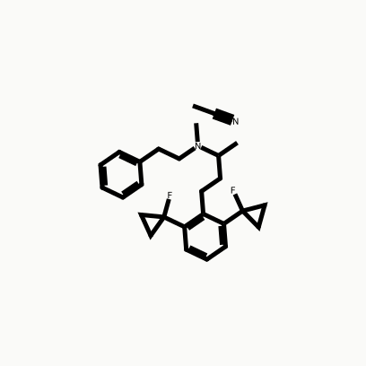 CC#N.CC(CCc1c(C2(F)CC2)cccc1C1(F)CC1)N(C)CCc1ccccc1